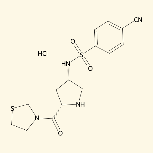 Cl.N#Cc1ccc(S(=O)(=O)N[C@@H]2CN[C@H](C(=O)N3CCSC3)C2)cc1